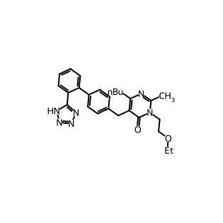 CCCCc1nc(C)n(CCOCC)c(=O)c1Cc1ccc(-c2ccccc2-c2nnn[nH]2)cc1